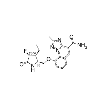 CC[C@@H]1[C@H](F)C(=O)N[C@@H]1COc1cccc2cc(C(N)=O)c3nc(C)nn3c12